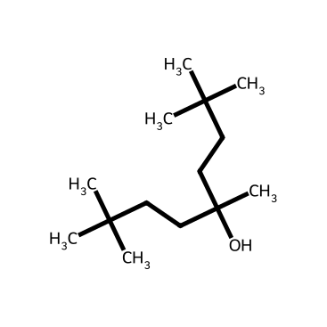 CC(C)(C)CCC(C)(O)CCC(C)(C)C